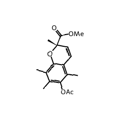 COC(=O)[C@]1(C)C=Cc2c(C)c(OC(C)=O)c(C)c(C)c2O1